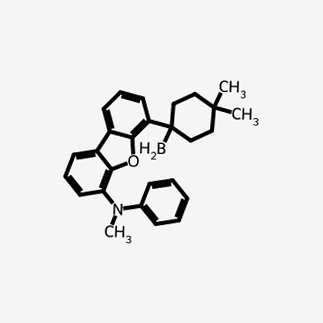 BC1(c2cccc3c2oc2c(N(C)c4ccccc4)cccc23)CCC(C)(C)CC1